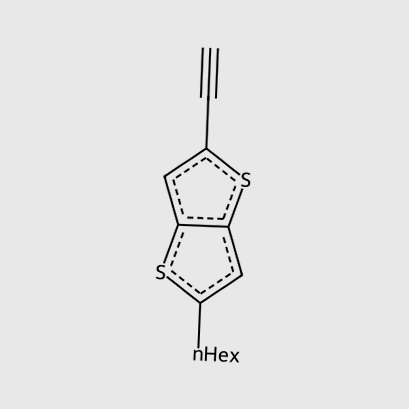 C#Cc1cc2sc(CCCCCC)cc2s1